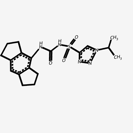 CC(C)n1cc(S(=O)(=O)NC(=O)Nc2c3c(cc4c2CCC4)CCC3)nn1